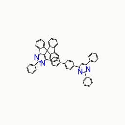 c1ccc(-c2cc(-c3ccc(-c4ccc(-c5nc(-c6ccccc6)nc6c5C5(c7ccccc7-c7ccccc75)c5ccccc5-6)cc4)cc3)nc(-c3ccccc3)n2)cc1